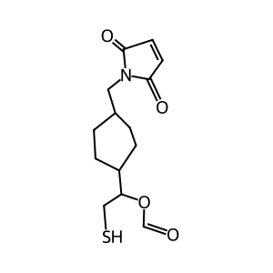 O=COC(CS)C1CCC(CN2C(=O)C=CC2=O)CC1